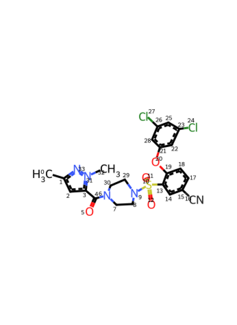 Cc1cc(C(=O)N2CCN(S(=O)(=O)c3cc(C#N)ccc3Oc3cc(Cl)cc(Cl)c3)CC2)n(C)n1